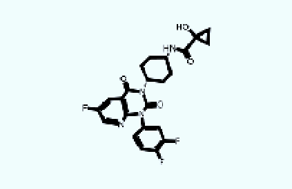 O=C(N[C@H]1CC[C@@H](n2c(=O)c3cc(F)cnc3n(-c3ccc(F)c(F)c3)c2=O)CC1)C1(O)CC1